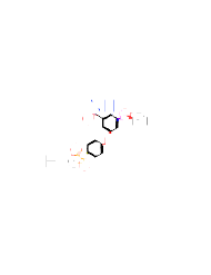 CC(C)Oc1cc(Oc2ccc(S(C)(=O)=O)cc2)cc(C(N)=O)c1